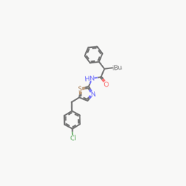 CCC(C)C(C(=O)Nc1ncc(Cc2ccc(Cl)cc2)s1)c1ccccc1